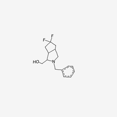 OCC1C2CC(F)(F)CC2CN1Cc1ccccc1